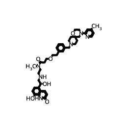 Cc1ccnc(N2CCOC3(CCN(Cc4cccc(CCOCCC(=O)N(C)CCNC[C@H](O)c5ccc(O)c6[nH]c(=O)ccc56)c4)CC3)C2)c1